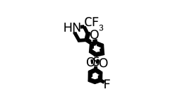 O=S(=O)(c1cccc(F)c1)c1ccc2oc3c(c2c1)CCNC3C(F)(F)F